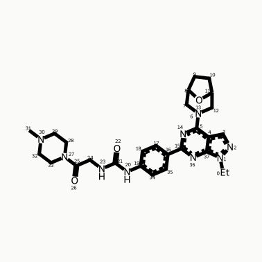 CCn1ncc2c(N3CC4CCC(C3)O4)nc(-c3ccc(NC(=O)NCC(=O)N4CCN(C)CC4)cc3)nc21